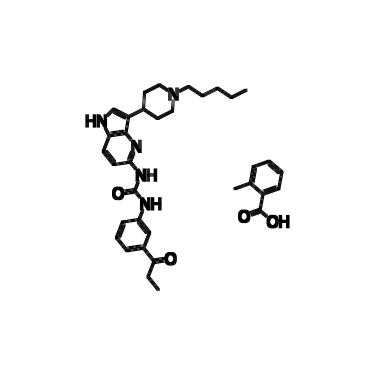 CCCCCN1CCC(c2c[nH]c3ccc(NC(=O)Nc4cccc(C(=O)CC)c4)nc23)CC1.Cc1ccccc1C(=O)O